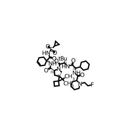 CC(C)(C)[C@H](NC(=O)[C@@H](NC(=O)C1CCCCN1CCF)C1CCCCC1)C(=O)N1C[C@]2(C[C@H]1C(=O)N[C@]1(C(=O)NS(=O)(=O)C3CC3)CC=CCC1)C(C)(C)C21CCC1